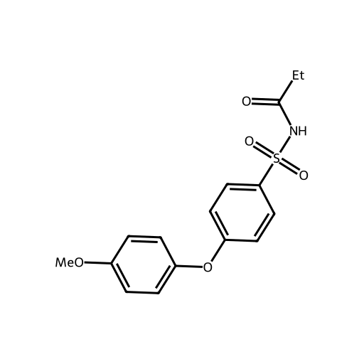 CCC(=O)NS(=O)(=O)c1ccc(Oc2ccc(OC)cc2)cc1